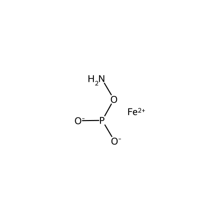 NOP([O-])[O-].[Fe+2]